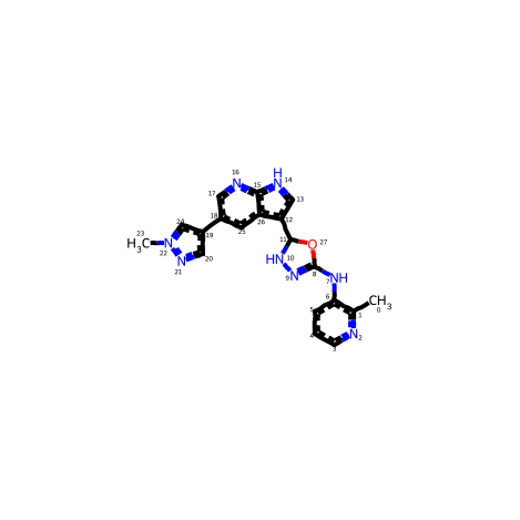 Cc1ncccc1NC1=NNC(c2c[nH]c3ncc(-c4cnn(C)c4)cc23)O1